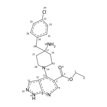 CCOC(=O)c1cnc2[nH]ncc2c1N1CCC(N)(Cc2ccc(Cl)cc2)CC1